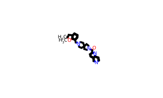 CC1(C)Cc2cccc(CN3CCC4(CC3)CCN(C(=O)c3ccc5cnccc5n3)CC4)c2O1